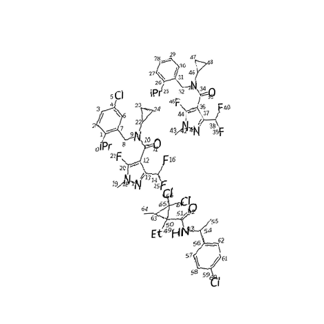 CC(C)c1ccc(Cl)cc1CN(C(=O)c1c(C(F)F)nn(C)c1F)C1CC1.CC(C)c1ccccc1CN(C(=O)c1c(C(F)F)nn(C)c1F)C1CC1.CCC1(C(=O)NC(C)c2ccc(Cl)cc2)C(C)C1(Cl)Cl